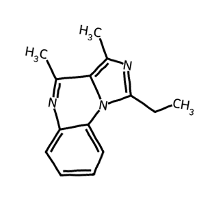 CCc1nc(C)c2c(C)nc3ccccc3n12